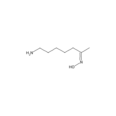 CC(CCCCCN)=NO